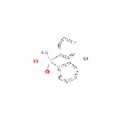 OP(O)(O)(c1ccccc1)c1ccccc1.[KH]